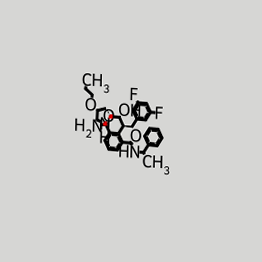 CCCO[C@H]1CN[C@@H]([C@H](O)[C@@H](Cc2cc(F)cc(F)c2)c2c(C(N)=O)cccc2C(=O)NC(C)c2ccccc2)C1